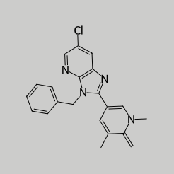 C=C1C(C)=CC(c2nc3cc(Cl)cnc3n2Cc2ccccc2)=CN1C